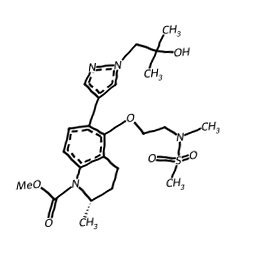 COC(=O)N1c2ccc(-c3cnn(CC(C)(C)O)c3)c(OCCN(C)S(C)(=O)=O)c2CC[C@@H]1C